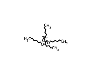 CCCCCCOC(CCCC)C([O][Ti])(OCCCCCC)OCCCCCC